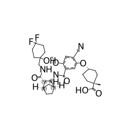 COc1cc(C#N)c(O[C@H]2CC[C@@](C)(C(=O)O)CC2)cc1C(=O)N[C@@H]1[C@H]2CC[C@H](C2)[C@@H]1C(=O)NCC1(O)CCC(F)(F)CC1